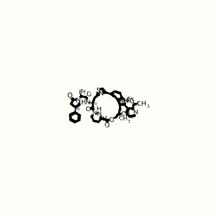 CCn1c(-c2cccnc2[C@H](C)OC)c2c3cc(ccc31)-c1csc(n1)C[C@H](NC(=O)[C@H](C(C)C)N1C[C@@H](c3ccccc3)CC1=O)C(=O)N1CCC[C@H](N1)C(=O)OCC(C)(C)C2